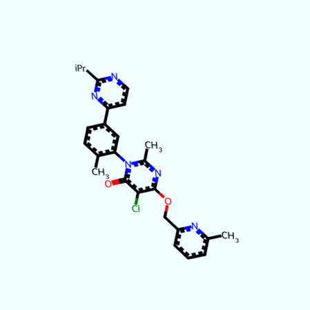 Cc1cccc(COc2nc(C)n(-c3cc(-c4ccnc(C(C)C)n4)ccc3C)c(=O)c2Cl)n1